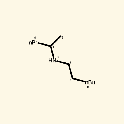 CCCCCCNC(C)CCC